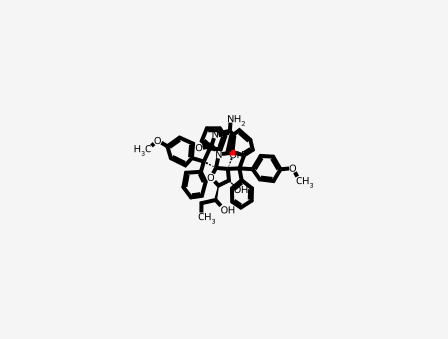 CCC(O)[C@H]1O[C@](n2ccc(N)nc2=O)(C(c2ccccc2)(c2ccccc2)c2ccc(OC)cc2)[C@@](O)(C(c2ccccc2)(c2ccccc2)c2ccc(OC)cc2)[C@@H]1O